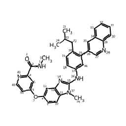 CNC(=O)c1cc(Oc2ccc3c(c2)nc(Nc2ccc(CC(C)C)c(-c4cnc5ccccc5c4)c2)n3C)ccn1